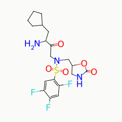 NC(CC1CCCC1)C(=O)CN(CC1CNC(=O)O1)S(=O)(=O)c1cc(F)c(F)cc1F